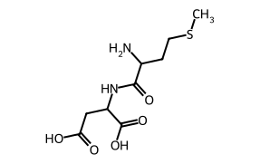 CSCCC(N)C(=O)NC(CC(=O)O)C(=O)O